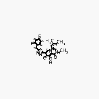 CC[C@H](C)CN1CN(CC)C(=O)c2c(O)c(=O)c(-c3nnc(Cc4ccc(F)cc4F)s3)cn21